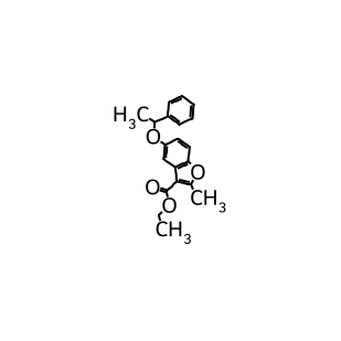 CCOC(=O)c1c(C)oc2ccc(OC(C)c3ccccc3)cc12